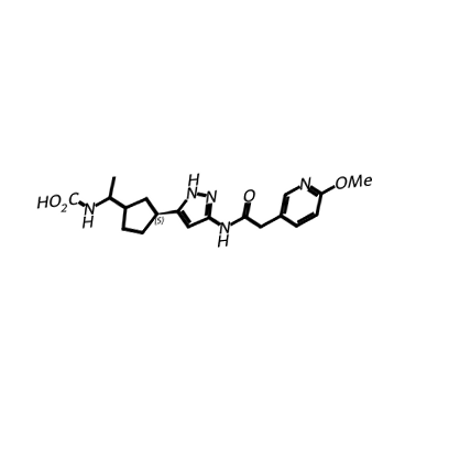 COc1ccc(CC(=O)Nc2cc([C@H]3CCC(C(C)NC(=O)O)C3)[nH]n2)cn1